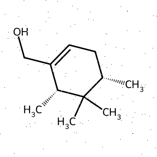 C[C@@H]1C(CO)=CC[C@H](C)C1(C)C